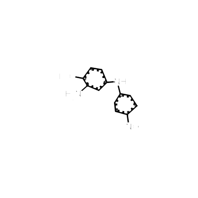 Cc1ccc(Nc2ccc(N=O)cc2)cc1N